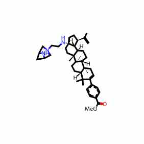 C=C(C)[C@@H]1CC[C@]2(NCCN3CC4CC(C3)N4)CC[C@]3(C)[C@H](CC[C@@H]4[C@@]5(C)CC=C(c6ccc(C(=O)OC)cc6)C(C)(C)[C@@H]5CC[C@]43C)[C@@H]12